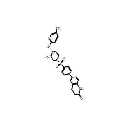 O=C1CCc2cc(-c3ccc(S(=O)(=O)N4CC[C@@H](Nc5ccc(C(F)(F)F)cn5)[C@@H](O)C4)cc3)ccc2N1